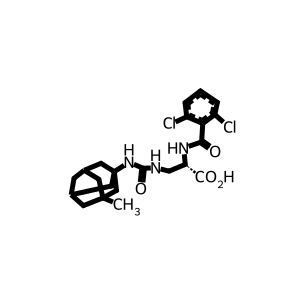 CC12CC3CC(C1)CC(NC(=O)NC[C@H](NC(=O)c1c(Cl)cccc1Cl)C(=O)O)(C3)C2